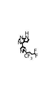 FC(F)CCC(n1cc(-c2ncnc3[nH]ccc23)cn1)C(F)(F)F